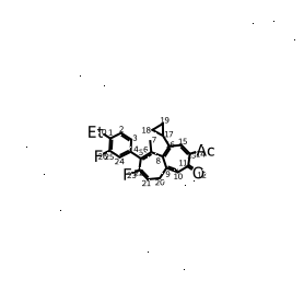 CCc1ccc(C2=C(C)c3c(cc(=O)c(C(C)=O)cc3C3CC3)CC=C2F)cc1F